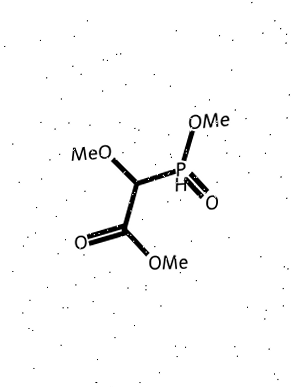 COC(=O)C(OC)[PH](=O)OC